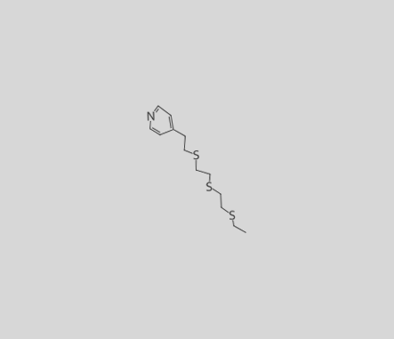 CCSCCSCCSCCc1ccncc1